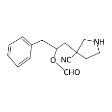 N#CC1(CC(Cc2ccccc2)OC=O)CCNC1